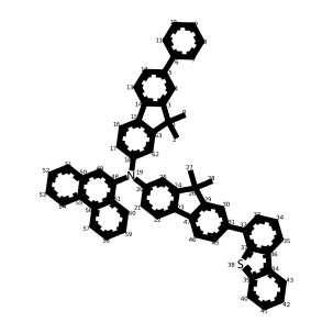 CC1(C)c2cc(-c3ccccc3)ccc2-c2ccc(N(c3ccc4c(c3)C(C)(C)c3cc(-c5cccc6c5sc5ccccc56)ccc3-4)c3cc4ccccc4c4ccccc34)cc21